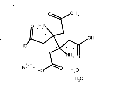 NC(CC(=O)O)(CC(=O)O)C(N)(CC(=O)O)CC(=O)O.O.O.O.[Fe]